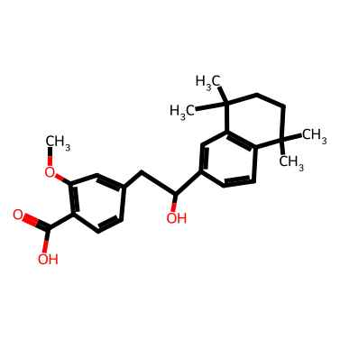 COc1cc(CC(O)c2ccc3c(c2)C(C)(C)CCC3(C)C)ccc1C(=O)O